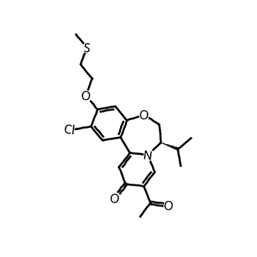 CSCCOc1cc2c(cc1Cl)-c1cc(=O)c(C(C)=O)cn1[C@H](C(C)C)CO2